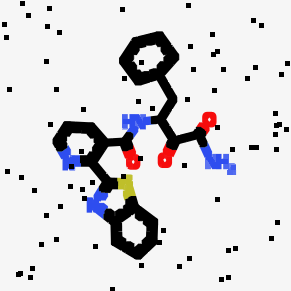 NC(=O)C(=O)C(Cc1ccccc1)NC(=O)c1cccnc1-c1nc2ccccc2s1